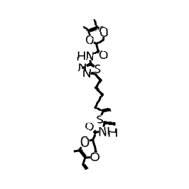 C=CC1=C(C)OC(C(=O)NC(=C)SC(=C)CCCCc2nnc(NC(=O)C3COC(C)=C(C)O3)s2)CO1